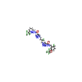 O=C(NCc1cccc(C(F)(F)F)n1)c1cn(CCC(F)Cn2cc(C(=O)NCc3cc(OC(F)(F)F)ccc3F)nn2)nn1